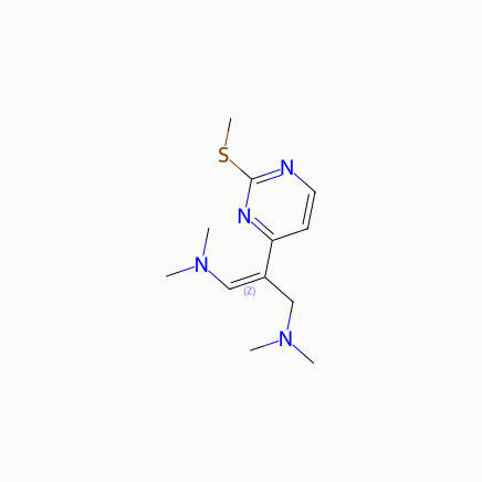 CSc1nccc(/C(=C\N(C)C)CN(C)C)n1